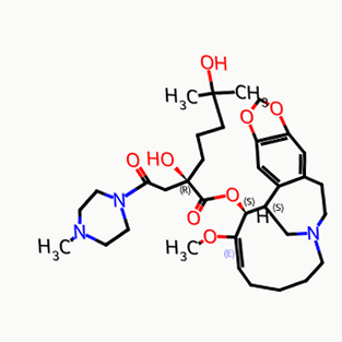 CO/C1=C/CCCCN2CCc3cc4c(cc3[C@@H](C2)[C@@H]1OC(=O)[C@@](O)(CCCC(C)(C)O)CC(=O)N1CCN(C)CC1)OCO4